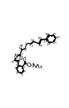 COC(=O)c1ccccc1-c1cnc(C(=O)CCCCCCc2ccccc2)o1